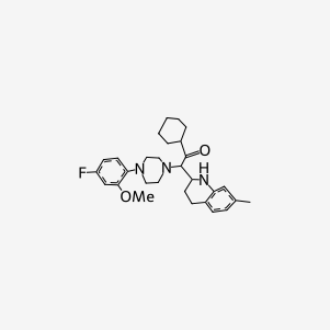 COc1cc(F)ccc1N1CCN(C(C(=O)C2CCCCC2)C2CCc3ccc(C)cc3N2)CC1